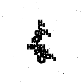 Cc1cccnc1NC(=S)NC(=N)c1cnc(OC(C)C)cn1